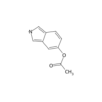 CC(=O)Oc1ccc2c(c1)=C[N]C=2